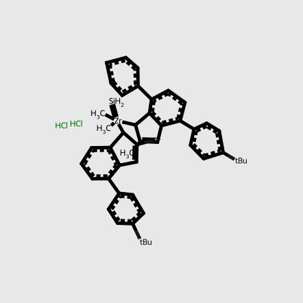 CC1=Cc2c(-c3ccc(C(C)(C)C)cc3)ccc(-c3ccccc3)c2[CH]1[Zr]([CH3])([CH3])(=[SiH2])[CH]1C(C(C)C)=Cc2c(-c3ccc(C(C)(C)C)cc3)cccc21.Cl.Cl